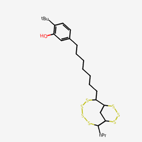 CCCC1SSSSC(CCCCCCCc2ccc(C(C)(C)C)c(O)c2)C2CC1SSS2